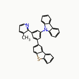 Cc1cccnc1-c1cc(-c2ccc3sc4ccccc4c3c2)cc(-n2c3ccccc3c3ccccc32)c1